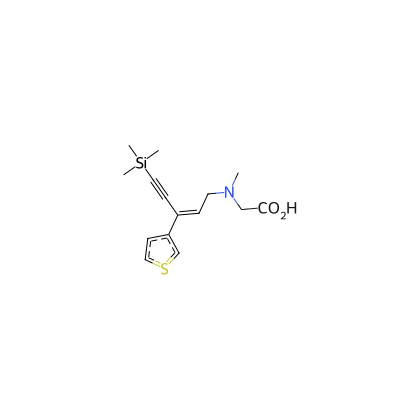 CN(CC=C(C#C[Si](C)(C)C)c1ccsc1)CC(=O)O